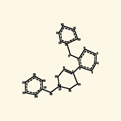 C1=C(c2ccccc2Cc2ccccc2)CCN(Cc2ccccc2)C1